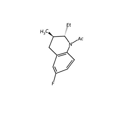 CC[C@H]1[C@H](C)Cc2cc(F)ccc2N1C(C)=O